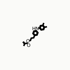 C=C(C)C(=O)OCCCc1ccc(Nc2ccc(C)c(C)c2)cc1